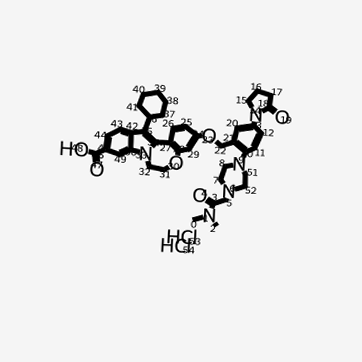 CN(C)C(=O)CN1CCN(c2ccc(N3CCCC3=O)cc2COc2ccc3c(c2)OCCn2c-3c(C3CCCCC3)c3ccc(C(=O)O)cc32)CC1.Cl.Cl